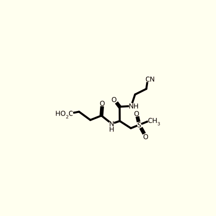 CS(=O)(=O)CC(NC(=O)CCC(=O)O)C(=O)NCCC#N